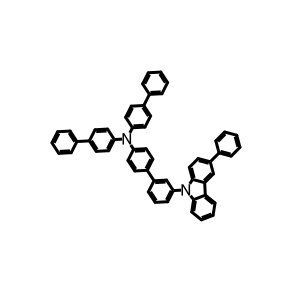 c1ccc(-c2ccc(N(c3ccc(-c4ccccc4)cc3)c3ccc(-c4cccc(-n5c6ccccc6c6cc(-c7ccccc7)ccc65)c4)cc3)cc2)cc1